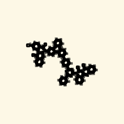 O=c1c2ccc(Cl)cc2n2c(=O)c3ccccc3cc2n1-c1ccc2c3cc(-c4ccc(-c5nc(-c6ccccc6)nc(-n6c(=O)n7c(=O)c8ccccc8nc7c7ccccc76)n5)cc4)ccc3c3ccccc3c2c1